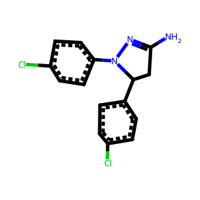 NC1=NN(c2ccc(Cl)cc2)C(c2ccc(Cl)cc2)C1